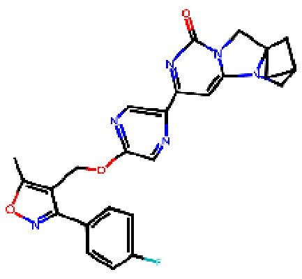 Cc1onc(-c2ccc(F)cc2)c1COc1cnc(-c2cc3n(c(=O)n2)CC24CC(CN32)C4)cn1